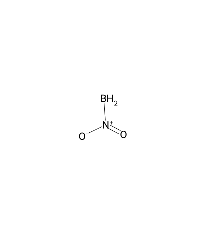 B[N+](=O)[O-]